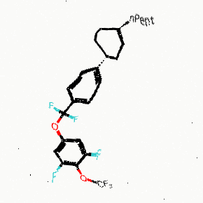 CCCCC[C@H]1CC[C@H](c2ccc(C(F)(F)Oc3cc(F)c(OC(F)(F)F)c(F)c3)cc2)CC1